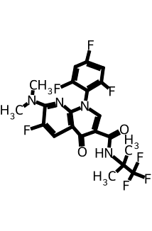 CN(C)c1nc2c(cc1F)c(=O)c(C(=O)NC(C)(C)C(F)(F)F)cn2-c1c(F)cc(F)cc1F